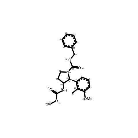 COc1cccc([C@H]2[C@@H](NC(=O)OC(C)(C)C)CCN2C(=O)OCc2ccccc2)c1C